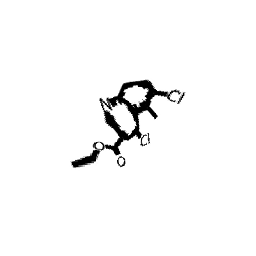 CCOC(=O)c1cnc2ccc(Cl)c(C)c2c1Cl